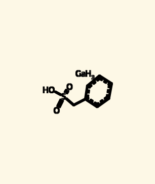 O=S(=O)(O)Cc1ccccc1.[GaH3]